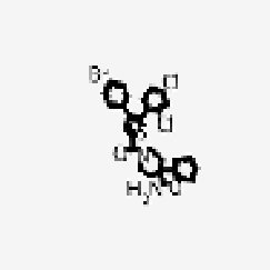 NC(=O)C1(c2ccccc2)CCN(C(=O)c2cc(-c3ccc(Br)cc3)c(-c3ccc(Cl)cc3Cl)s2)CC1